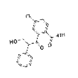 O=C(O)c1ccc(Cl)cc1C(=O)C(CO)c1ccccc1